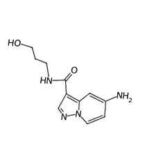 Nc1ccn2ncc(C(=O)NCCCO)c2c1